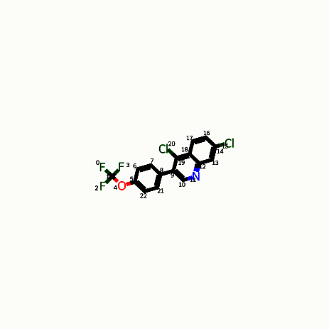 FC(F)(F)Oc1ccc(-c2cnc3cc(Cl)ccc3c2Cl)cc1